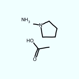 CC(=O)O.CN1CCCC1.N